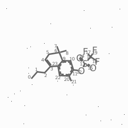 CCCC1=CCC(C)(C)c2cc(OS(=O)(=O)C(F)(F)F)c(C)cc21